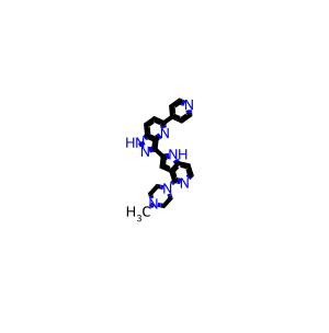 CN1CCN(c2nccc3[nH]c(-c4n[nH]c5ccc(-c6ccncc6)nc45)cc23)CC1